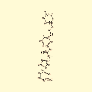 CN1CCN(CCOc2cccc(CC(=O)Nc3cc(-c4ccnc(F)c4)cs3)c2)CC1